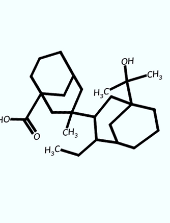 CCC1C2CCCC(C(C)(C)O)(C2)CC1C1(C)CC2CCCC(C(=O)O)(C2)C1